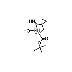 CC(C)(C)OC(=O)NCC1(C(=N)NO)CC1